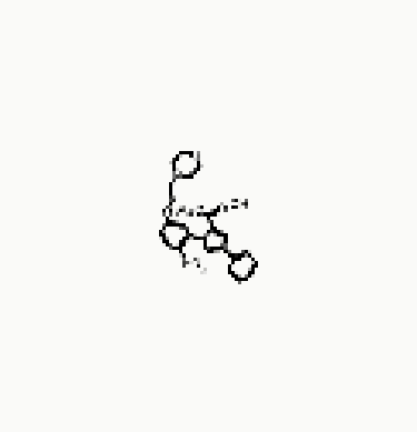 COC(=O)c1cc(-c2ccccc2)cn1-c1cc(OCCN2CCOCC2)ccc1[N+](=O)[O-].Cl